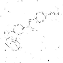 O=C(O)c1ccc(OC(=O)c2ccc(O)c(C34CC5CC(CC(C5)C3)C4)c2)cc1